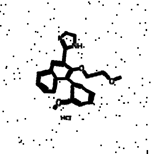 COCCOc1c(C2=NCCN2)cc2ccccc2c1-c1ccccc1OC.Cl